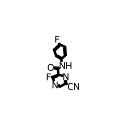 N#Cc1cnc(F)c(C(=O)Nc2ccc(F)cc2)n1